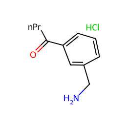 CCCC(=O)c1cccc(CN)c1.Cl